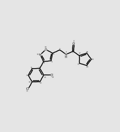 O=C(NCc1cc(-c2ccc(Cl)cc2Cl)no1)C1=CC=CC1